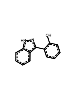 Oc1ccccc1-c1n[nH]c2ccccc12